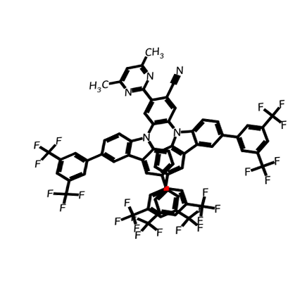 Cc1cc(C)nc(-c2cc(-n3c4ccc(-c5cc(C(F)(F)F)cc(C(F)(F)F)c5)cc4c4cc(-c5cc(C(F)(F)F)cc(C(F)(F)F)c5)ccc43)c(-n3c4ccc(-c5cc(C(F)(F)F)cc(C(F)(F)F)c5)cc4c4cc(-c5cc(C(F)(F)F)cc(C(F)(F)F)c5)ccc43)cc2C#N)n1